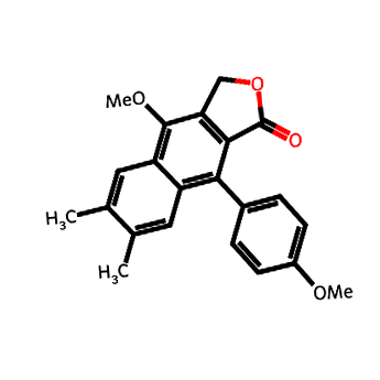 COc1ccc(-c2c3c(c(OC)c4cc(C)c(C)cc24)COC3=O)cc1